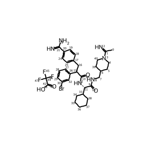 CC(=N)N1CCC(CNC(=O)[C@@H](NC(=O)C(Cc2ccc(C(=N)N)cc2)c2cccc(Br)c2)C2CCCCC2)CC1.O=C(O)C(F)(F)F